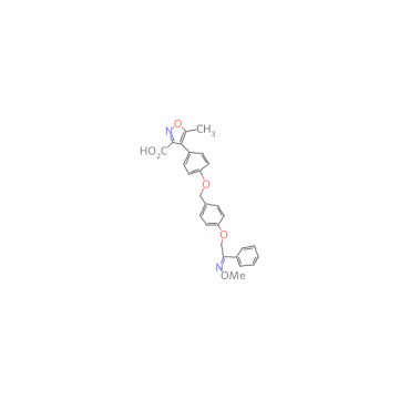 CO/N=C(/COc1ccc(COc2ccc(-c3c(C(=O)O)noc3C)cc2)cc1)c1ccccc1